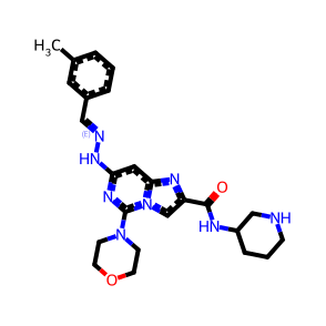 Cc1cccc(/C=N/Nc2cc3nc(C(=O)NC4CCCNC4)cn3c(N3CCOCC3)n2)c1